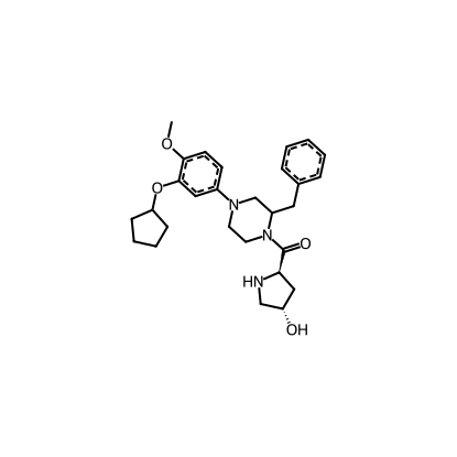 COc1ccc(N2CCN(C(=O)[C@H]3C[C@H](O)CN3)C(Cc3ccccc3)C2)cc1OC1CCCC1